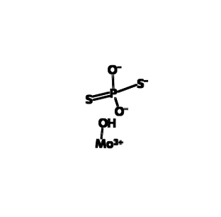 [O-]P([O-])(=S)[S-].[OH][Mo+3]